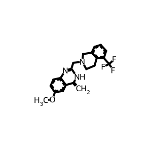 C=C1NC(CN2CCc3c(cccc3C(F)(F)F)C2)=Nc2ccc(OC)cc21